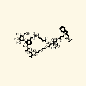 CC(C)[C@H](NC(=O)CCOCCOCCNC(=O)[C@H](CS(=O)(=O)O)NC(=O)CCn1c(CN(C)N(C)C)cc2cccnc21)C(=O)N[C@@H](C)C(=O)Nc1ccc(COC(=O)N(C)CCCC(=O)O)cc1O[C@@H]1O[C@H](CO)[C@H](O)[C@H](O)[C@H]1O